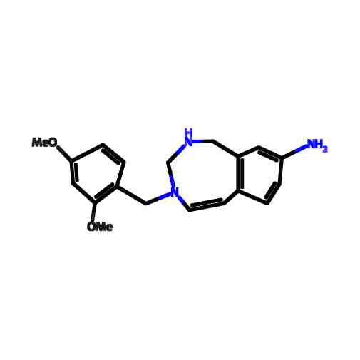 COc1ccc(CN2/C=C\c3ccc(N)cc3CNC2)c(OC)c1